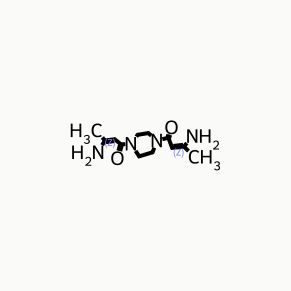 C/C(N)=C/C(=O)N1CCN(C(=O)/C=C(/C)N)CC1